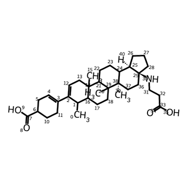 CC1C(C2=CCC(C(=O)O)CC2)=CCC2(C)C1CCC1(C)C2CCC2[C@H]3CCC[C@]3(NCCC(=O)O)CC[C@]21C